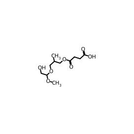 COC(CO)OCC(C)COC(=O)CCC(=O)O